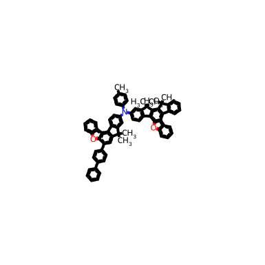 Cc1ccc(N(c2ccc3c(c2)C(C)(C)c2cc(-c4ccc(-c5ccccc5)cc4)c4oc5ccccc5c4c2-3)c2ccc3c(c2)C(C)(C)c2c4c(c5c(oc6ccccc65)c2-3)-c2ccccc2C4(C)C)cc1